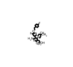 Cc1nc(N)c(-c2cnc(OCCc3ccc(F)cc3)c(F)c2)c(N2CCC(C)(C)CC2)c1CC(=O)O